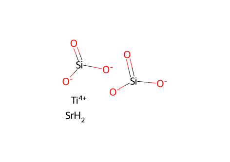 O=[Si]([O-])[O-].O=[Si]([O-])[O-].[SrH2].[Ti+4]